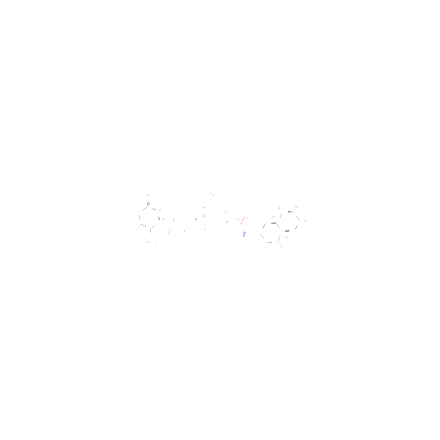 N#CN1C[C@H](NS(=O)(=O)c2cc(Br)ccc2Br)C[C@@H]1COC(=O)Nc1ccc2ccccc2c1